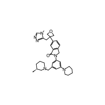 C[C@H]1CCCN(Cc2cc(N3CCCCC3)cc(N3Cc4ccc(C5(Cc6nncn6C)COC5)cc4C3=O)c2)C1